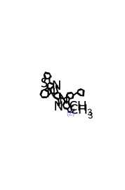 C/C=C\c1ccc2c(c1C)c1cc(-c3ccccc3)ccc1n2-c1cc(C#N)c(N2c3ccc4c(sc5ccccc54)c3C3=CC2C=CC=C3)cc1C#N